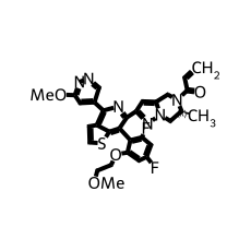 C=CC(=O)N1Cc2cc(-c3nc(-c4cnnc(OC)c4)c4ccsc4c3-c3c(F)cc(F)cc3OCCOC)nn2C[C@H]1C